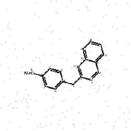 COc1ccc(Cc2ncc3ccccc3n2)cc1